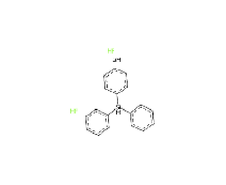 F.F.[LiH].c1ccc([SiH](c2ccccc2)c2ccccc2)cc1